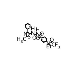 CCN(C(=O)C(F)(F)F)c1ccc(S(=O)(=O)NC(=O)Nc2sc(C)nc2-c2ccccc2)cc1